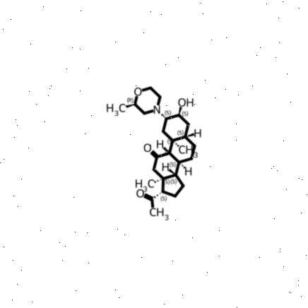 CC(=O)[C@H]1CC[C@H]2[C@@H]3CC[C@H]4C[C@H](O)[C@@H](N5CCO[C@H](C)C5)C[C@]4(C)[C@H]3C(=O)C[C@]12C